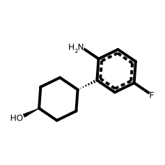 Nc1ccc(F)cc1[C@H]1CC[C@H](O)CC1